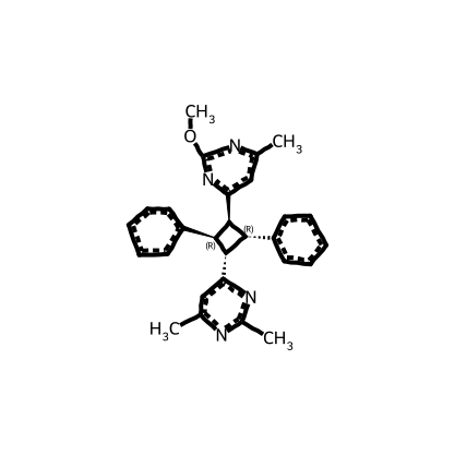 COc1nc(C)cc([C@H]2[C@H](c3ccccc3)[C@H](c3cc(C)nc(C)n3)[C@H]2c2ccccc2)n1